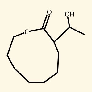 CC(O)C1CCCCCCCCC1=O